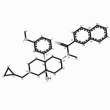 COc1cccc([C@@]23CCN(CC4CC4)C[C@@]2(O)CC[C@@H](N(C)C(=O)c2ccc4ccccc4c2)C3)c1